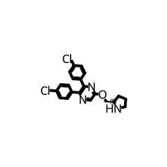 Clc1ccc(-c2ncc(OC[C@H]3CCCN3)nc2-c2ccc(Cl)cc2)cc1